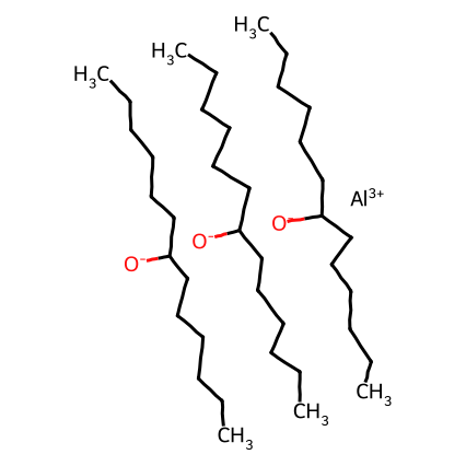 CCCCCCC([O-])CCCCCC.CCCCCCC([O-])CCCCCC.CCCCCCC([O-])CCCCCC.[Al+3]